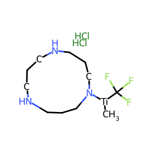 Cl.Cl.[CH3][Ti]([N]1CCCNCCCNCCC1)[C](F)(F)F